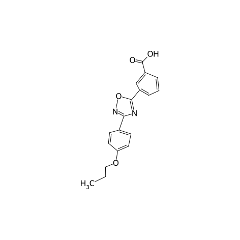 CCCOc1ccc(-c2noc(-c3cccc(C(=O)O)c3)n2)cc1